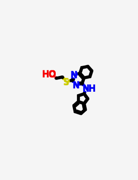 OCCSc1nc2c(c(NC3Cc4ccccc4C3)n1)CCCC2